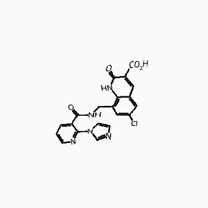 O=C(NCc1cc(Cl)cc2cc(C(=O)O)c(=O)[nH]c12)c1cccnc1-n1ccnc1